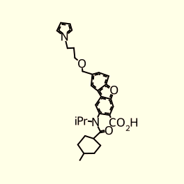 CC1CCC(C(=O)N(c2cc3c(cc2C(=O)O)oc2ccc(COCCCn4cccc4)cc23)C(C)C)CC1